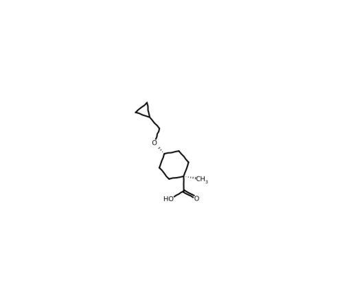 C[C@]1(C(=O)O)CC[C@H](OCC2CC2)CC1